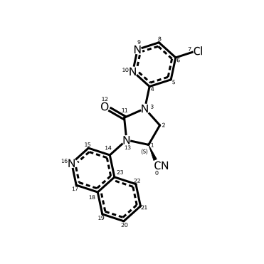 N#C[C@@H]1CN(c2cc(Cl)cnn2)C(=O)N1c1cncc2ccccc12